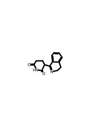 O=C1CCC(C2=NCCc3ccccc32)C(=O)N1